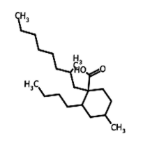 CCCCCCC(C)CC1(C(=O)O)CCC(C)CC1CCCC